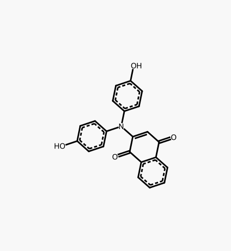 O=C1C=C(N(c2ccc(O)cc2)c2ccc(O)cc2)C(=O)c2ccccc21